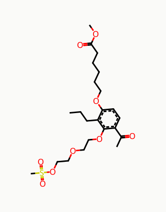 CCCc1c(OCCCCCC(=O)OC)ccc(C(C)=O)c1OCCOCCOS(C)(=O)=O